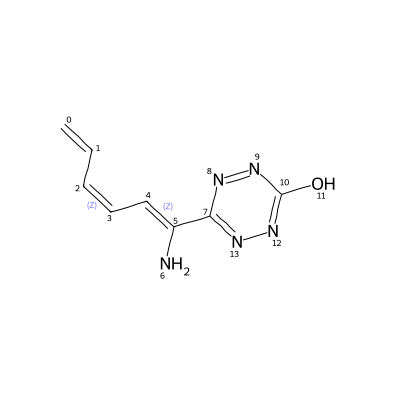 C=C/C=C\C=C(/N)c1nnc(O)nn1